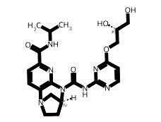 CC(C)NC(=O)c1ccc2c(n1)N(C(=O)Nc1nccc(OC[C@H](O)CO)n1)[C@H]1CCN2C1